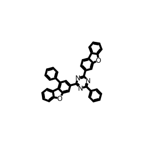 c1ccc(-c2nc(-c3ccc4c(c3)oc3ccccc34)nc(-c3cc(-c4ccccc4)c4c(c3)oc3ccccc34)n2)cc1